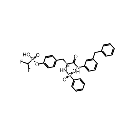 O=C(Nc1cccc(Cc2ccccc2)c1)[C@H](Cc1ccc(OP(=O)(O)C(F)F)cc1)NS(=O)(=O)c1ccccc1